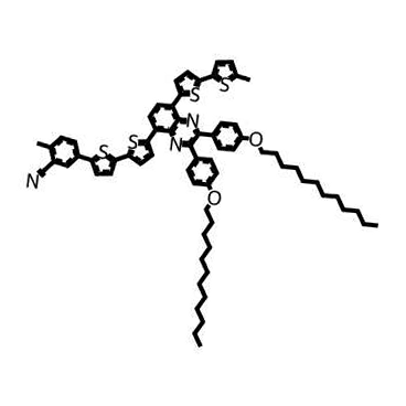 CCCCCCCCCCCCOc1ccc(-c2nc3c(-c4ccc(-c5ccc(C)s5)s4)ccc(-c4ccc(-c5ccc(-c6ccc(C)c(C#N)c6)s5)s4)c3nc2-c2ccc(OCCCCCCCCCCCC)cc2)cc1